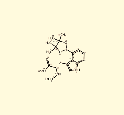 CCOC(=O)N[C@@H](Cc1c[nH]c2cccc(B3OC(C)(C)C(C)(C)O3)c12)C(=O)OC